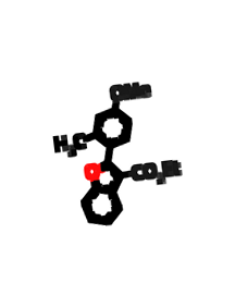 CCOC(=O)c1c(-c2ccc(OC)cc2C)oc2ccccc12